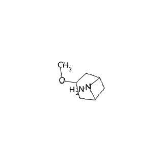 COC1CC2CC(C1)N2N